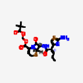 CC/C=C(\C(=O)N[C@@H]1C(=O)N2C(C(=O)OCOC(=O)C(C)(C)C)=CCS[C@@H]12)c1csc(N)n1